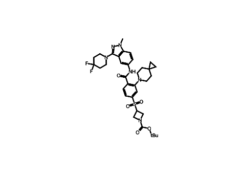 Cn1nc(N2CCC(F)(F)CC2)c2cc(NC(=O)c3ccc(S(=O)(=O)C4CN(C(=O)OC(C)(C)C)C4)cc3N3CCC4(CC3)CC4)ccc21